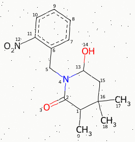 CC1C(=O)N(Cc2ccccc2[N+](=O)[O-])C(O)CC1(C)C